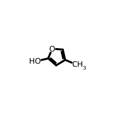 Cc1coc(O)c1